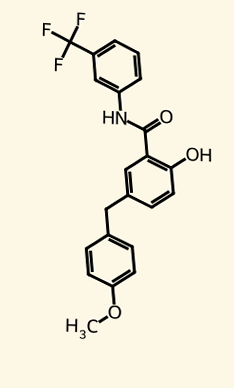 COc1ccc(Cc2ccc(O)c(C(=O)Nc3cccc(C(F)(F)F)c3)c2)cc1